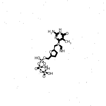 Cc1c(N(C=N)C[C@H]2CCC(COP(=O)(O)OP(=O)(O)OP(=O)(O)O)O2)nc(N)[nH]c1=O